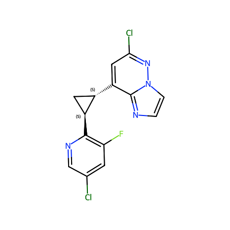 Fc1cc(Cl)cnc1[C@H]1C[C@@H]1c1cc(Cl)nn2ccnc12